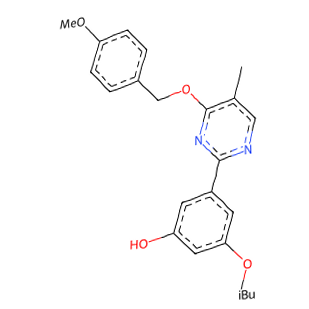 CCC(C)Oc1cc(O)cc(-c2ncc(C)c(OCc3ccc(OC)cc3)n2)c1